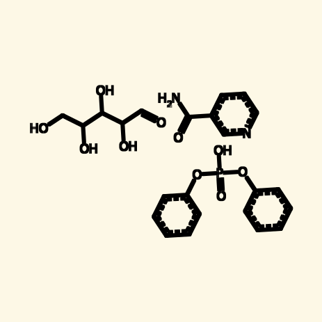 NC(=O)c1cccnc1.O=CC(O)C(O)C(O)CO.O=P(O)(Oc1ccccc1)Oc1ccccc1